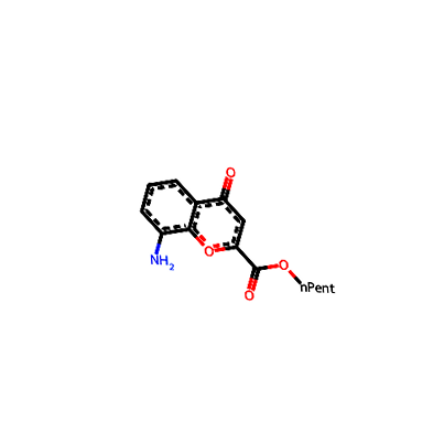 CCCCCOC(=O)c1cc(=O)c2cccc(N)c2o1